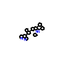 c1ccc(-c2cc3ccc(-c4ccc(-c5cc6cccnc6c6ncccc56)c5ccccc45)cc3c3c2c(-c2ccccc2)nn3-c2ccccc2)cc1